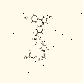 Cc1ccc(-c2cc(C(F)(F)F)nn2-c2ccc(S(=O)(=O)NC(=O)OC3CCN(n4on4OCOC(=O)C(C)C)C3)cc2)cc1